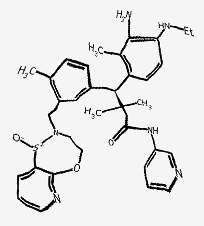 CCNc1ccc([C@H](c2ccc(C)c(CN3CCOc4ncccc4[S+]3[O-])c2)C(C)(C)C(=O)Nc2cccnc2)c(C)c1N